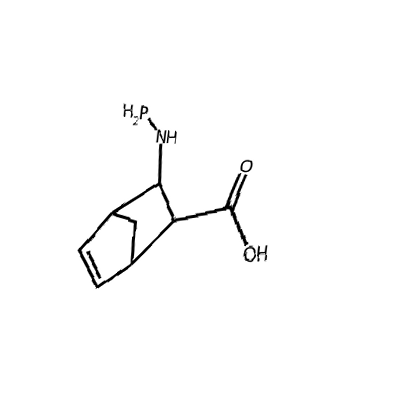 O=C(O)C1C2C=CC(C2)C1NP